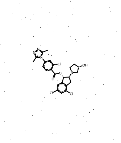 Cc1nnc(C)n1-c1ccc(C(=O)O[C@H]2c3cc(Cl)cc(Cl)c3C[C@@H]2N2CC[C@@H](O)C2)c(Cl)c1